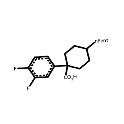 CCCCCC1CCC(C(=O)O)(c2ccc(F)c(F)c2)CC1